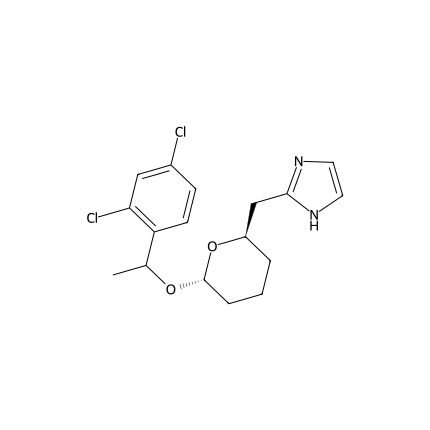 CC(O[C@H]1CCC[C@H](Cc2ncc[nH]2)O1)c1ccc(Cl)cc1Cl